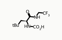 CC(C)(C)C[C@H](NC(=O)O)C(=O)NCC(F)(F)F